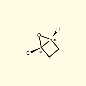 Cl[C@]12[CH]C[S@H]1O2